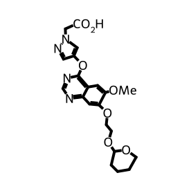 COc1cc2c(Oc3cnn(CC(=O)O)c3)ncnc2cc1OCCOC1CCCCO1